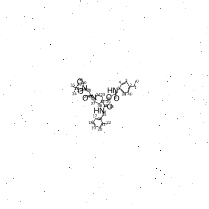 CCc1ccc(NC(=O)OCC2(C(=O)NCc3ccccc3C)CCN(C(=O)CN(C=O)OC(C)(C)C)CC2)cc1